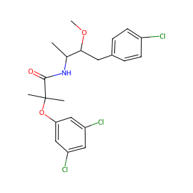 COC(Cc1ccc(Cl)cc1)C(C)NC(=O)C(C)(C)Oc1cc(Cl)cc(Cl)c1